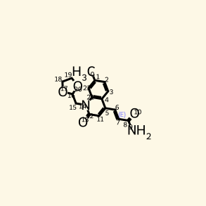 Cc1ccc2c(/C=C/C(N)=O)cc(=O)n(CC3OCCO3)c2c1